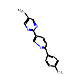 Cc1ccc(-c2ccc(-c3ncc(C)cn3)cn2)cc1